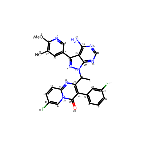 COc1ncc(-c2nn(C(C)c3nc4ccc(F)cn4c(=O)c3-c3cccc(F)c3)c3ncnc(N)c23)cc1C#N